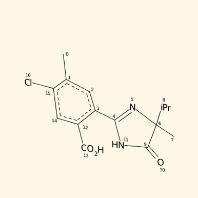 Cc1cc(C2=NC(C)(C(C)C)C(=O)N2)c(C(=O)O)cc1Cl